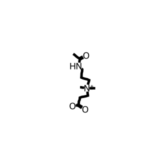 CC(=O)NCCC[N+](C)(C)CCC(=O)[O-]